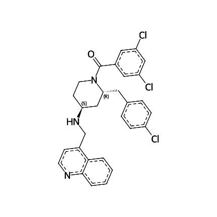 O=C(c1cc(Cl)cc(Cl)c1)N1CC[C@H](NCc2ccnc3ccccc23)C[C@H]1Cc1ccc(Cl)cc1